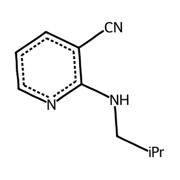 CC(C)CNc1ncccc1C#N